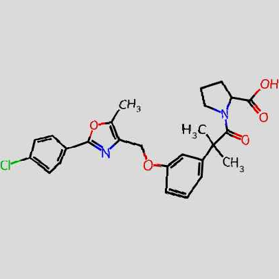 Cc1oc(-c2ccc(Cl)cc2)nc1COc1cccc(C(C)(C)C(=O)N2CCCC2C(=O)O)c1